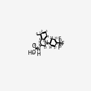 Cc1cccc2c1CC(NC(=O)O)CN2c1ccc(C(F)(F)F)cc1